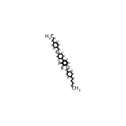 CCCCCC1CCC(COc2ccc(C3CCC(OCC4C=CC(CCC)CC4)CC3)c(F)c2F)CC1